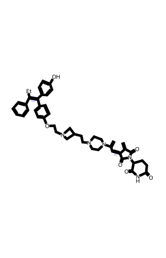 C=C1C(=O)N(C2CCC(=O)NC2=O)C(=O)/C1=C/C(=C)N1CCN(CCC2CN(CCOc3ccc(/C(=C(/CC)c4ccccc4)c4ccc(O)cc4)cc3)C2)CC1